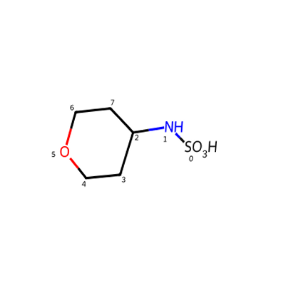 O=S(=O)(O)NC1CCOCC1